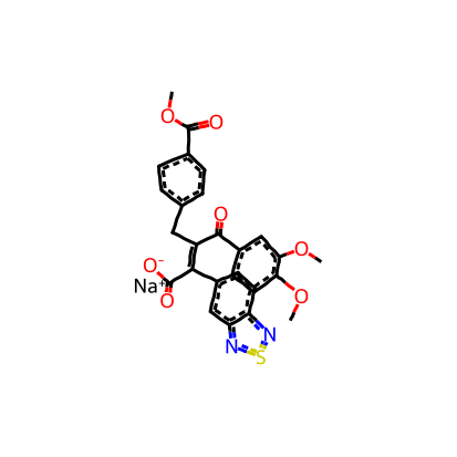 COC(=O)c1ccc(C/C(C(=O)c2ccc(OC)c(OC)c2)=C(\C(=O)[O-])c2ccc3nsnc3c2)cc1.[Na+]